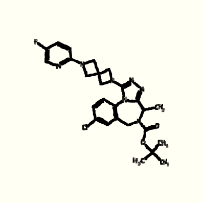 CC1c2nnc(N3CC4(CN(c5ccc(F)cn5)C4)C3)n2-c2ccc(Cl)cc2CN1C(=O)OC(C)(C)C